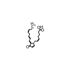 CC/C=C\C/C=C/C=C1/C(=O)C=C[C@@H]1C/C=C\CCCC(=O)O